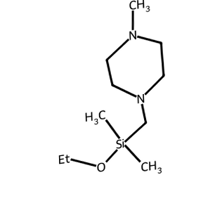 CCO[Si](C)(C)CN1CCN(C)CC1